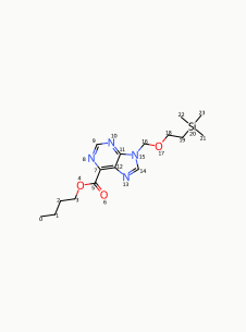 CCCCOC(=O)c1ncnc2c1ncn2COCC[Si](C)(C)C